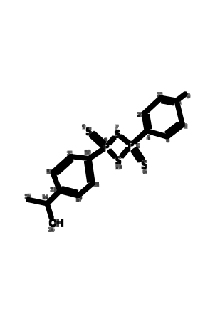 Cc1ccc(P2(=S)SP(=S)(c3ccc(C(C)O)cc3)S2)cc1